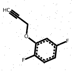 C#CCOc1cc(F)c[c]c1F